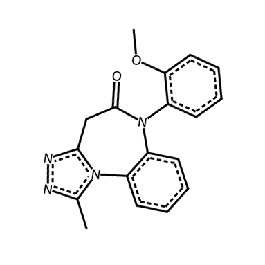 COc1ccccc1N1C(=O)Cc2nnc(C)n2-c2ccccc21